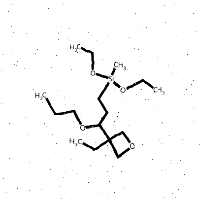 CCCOC(CC[Si](C)(OCC)OCC)C1(CC)COC1